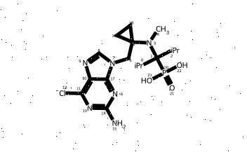 CC(C)C(C(C)C)(N(C)C1(Cn2cnc3c(Cl)nc(N)nc32)CC1)P(=O)(O)O